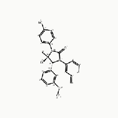 C=C/C=C(\C=C/C)N1C(=O)N(c2ccc(C#N)cc2)[C@](C)(CC)[C@H]1c1cccc(OC(F)(F)F)c1